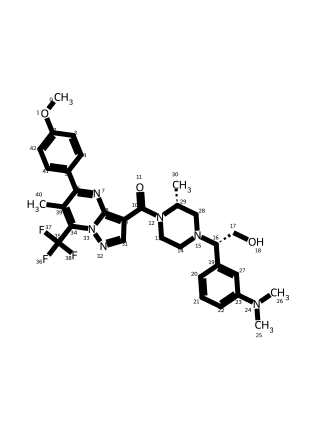 COc1ccc(-c2nc3c(C(=O)N4CCN([C@H](CO)c5cccc(N(C)C)c5)C[C@H]4C)cnn3c(C(F)(F)F)c2C)cc1